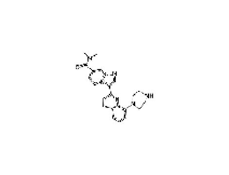 CN(C)C(=O)c1ccn2c(-c3ccc4cccc(N5CCNCC5)c4n3)cnc2c1